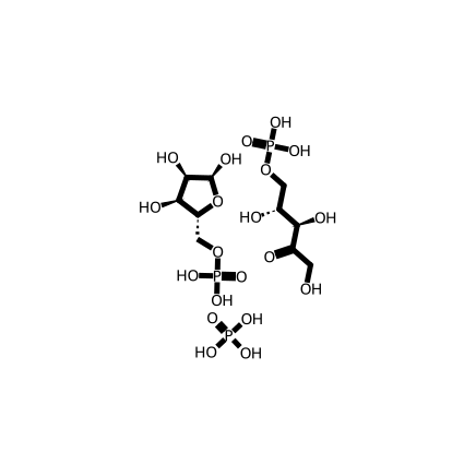 O=C(CO)[C@H](O)[C@H](O)COP(=O)(O)O.O=P(O)(O)O.O=P(O)(O)OC[C@H]1O[C@H](O)[C@H](O)[C@@H]1O